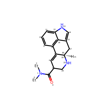 CCN(CC)C(=O)C1C=C2c3cccc4[nH]cc(c34)C[C@H]2NC1